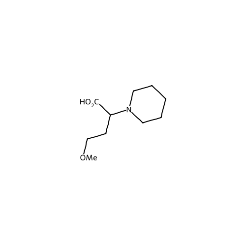 COCCC(C(=O)O)N1CCCCC1